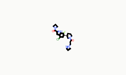 O=C(CCn1cccn1)N1CCC[C@H](c2cc(Cl)c3cc(C(=O)N4CCC4)[nH]c3c2F)C1